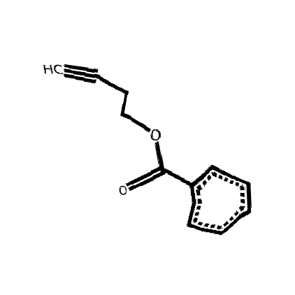 C#CCCOC(=O)c1ccccc1